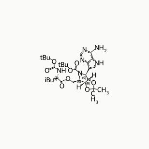 CC[C@H](C)[C@H](NC(=O)OC(C)(C)C)C(=O)OC[C@@H]1[C@H]2OC(C)(C)O[C@H]2[C@H](c2c[nH]c3c(N)ncnc23)N1C(=O)OC(C)(C)C